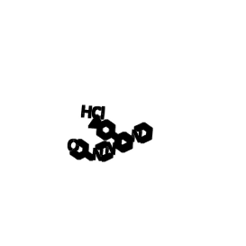 Cl.c1cc(N2CCN(CC3CCOCC3)CC2)c(C2CCC3(CC2)CC3)cc1N1CCCCC1